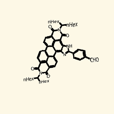 CCCCCCC(CCCCCC)N1C(=O)c2ccc3c4ccc5c6c(c7[nH]c(-c8ccc(C=O)cc8)nc7c(c7ccc(c2c37)C1=O)c64)C(=O)N(C(CCCCCC)CCCCCC)C5=O